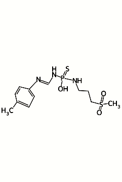 Cc1ccc(N=CNP(O)(=S)NCCCS(C)(=O)=O)cc1